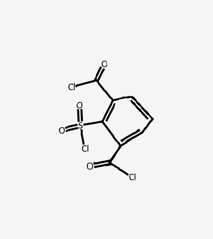 O=C(Cl)c1cccc(C(=O)Cl)c1S(=O)(=O)Cl